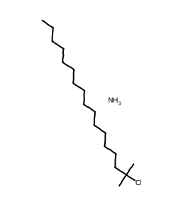 CCCCCCCCCCCCCCCC(C)(C)Cl.N